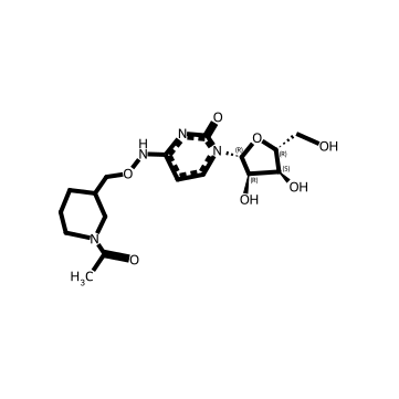 CC(=O)N1CCCC(CONc2ccn([C@@H]3O[C@H](CO)[C@@H](O)[C@H]3O)c(=O)n2)C1